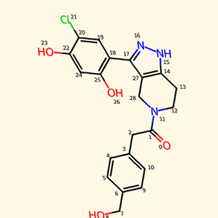 O=C(Cc1ccc(CO)cc1)N1CCc2[nH]nc(-c3cc(Cl)c(O)cc3O)c2C1